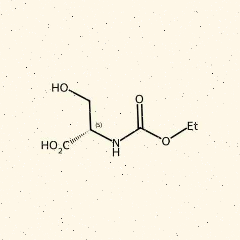 CCOC(=O)N[C@@H](CO)C(=O)O